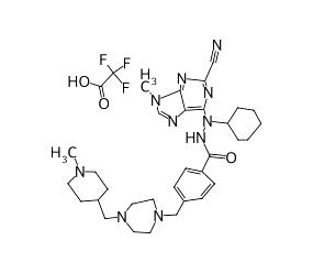 CN1CCC(CN2CCN(Cc3ccc(C(=O)NN(c4nc(C#N)nc5c4ncn5C)C4CCCCC4)cc3)CC2)CC1.O=C(O)C(F)(F)F